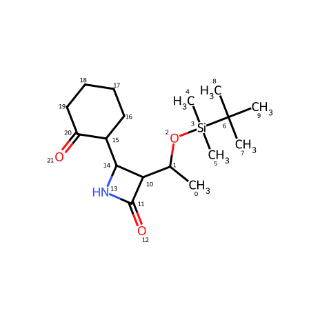 CC(O[Si](C)(C)C(C)(C)C)C1C(=O)NC1C1CCCCC1=O